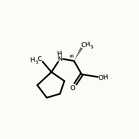 C[C@@H](NC1(C)CCCC1)C(=O)O